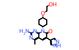 Cc1nc(N)nc2c1cc(-c1cn[nH]c1)c(=O)n2[C@H]1CC[C@H](OCCO)CC1